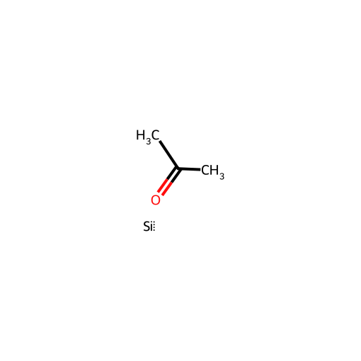 CC(C)=O.[Si]